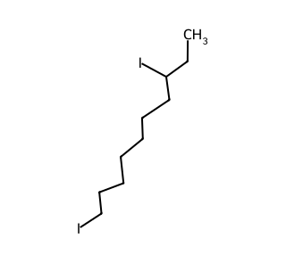 CCC(I)CCCCCCCI